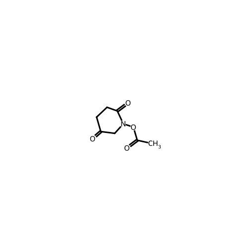 CC(=O)ON1CC(=O)CCC1=O